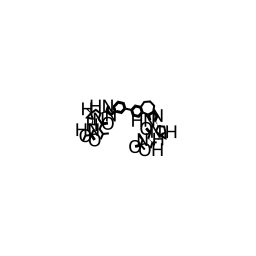 COC(=O)N[C@H](C(=O)N1[C@@H]2C[C@@H]2C[C@H]1c1nc2cc(-c3ccc4c(c3)CCCc3nc([C@@H]5C[C@H]6C[C@H]6N5C(=O)[C@H](C(C)C)N(C)C(=O)O)[nH]c3-4)ccc2[nH]1)C(C)C